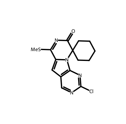 CSC1=NC(=O)C2(CCCCC2)n2c1cc1cnc(Cl)nc12